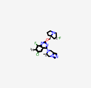 [2H]c1c(Cl)cc2c(N3Cc4cncn4C[C@H]3C)nc(OC[C@@]34CCCN3C[C@H](F)C4)nc2c1F